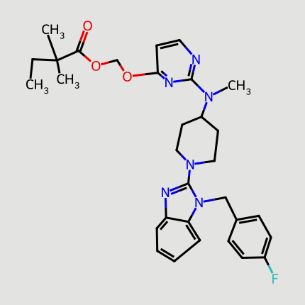 CCC(C)(C)C(=O)OCOc1ccnc(N(C)C2CCN(c3nc4ccccc4n3Cc3ccc(F)cc3)CC2)n1